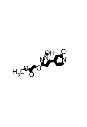 COC(=O)COc1cc(-c2ccnc(Cl)c2)n(O)n1